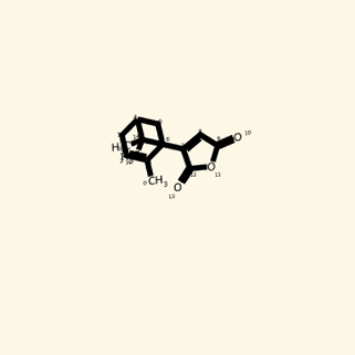 CC1=CCC2CC1(C1=CC(=O)OC1=O)C2(C)C